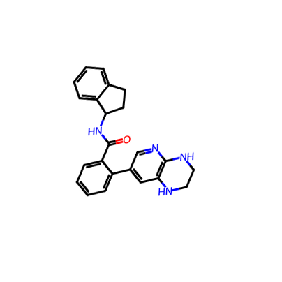 O=C(NC1CCc2ccccc21)c1ccccc1-c1cnc2c(c1)NCCN2